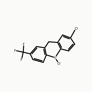 [O-][S+]1c2ccc(Cl)cc2Cc2cc(C(F)(F)F)ccc21